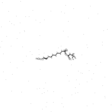 CCCCCCCCC=CCCCCCCCC(=O)OC(CC)C[N+](C)(C)C